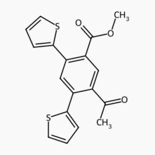 COC(=O)c1cc(C(C)=O)c(-c2cccs2)cc1-c1cccs1